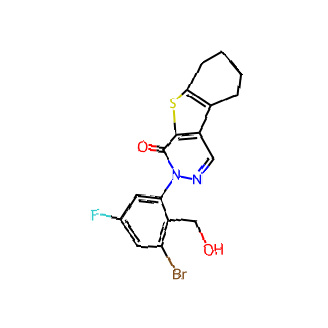 O=c1c2sc3c(c2cnn1-c1cc(F)cc(Br)c1CO)CCCC3